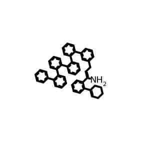 N/C(=C\Cc1cccc(-c2ccccc2-c2ccccc2-c2ccccc2-c2ccccc2-c2ccccc2)c1)c1ccccc1C1=CCCCC1